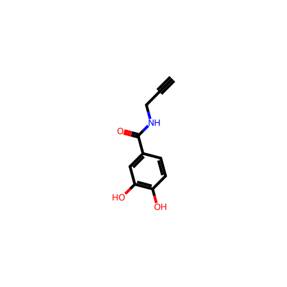 C#CCNC(=O)c1ccc(O)c(O)c1